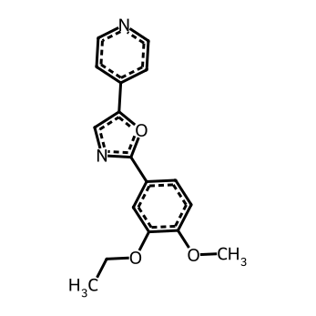 CCOc1cc(-c2ncc(-c3ccncc3)o2)ccc1OC